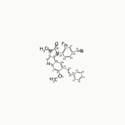 COc1cc2ncc3c(c2cc1C=Cc1ccccc1)n(-c1ccc(C#N)cc1F)c(=O)n3C